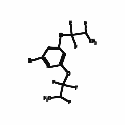 FC(C(F)(F)F)C(F)(F)Oc1[c]c(Br)cc(OC(F)(F)C(F)C(F)(F)F)c1